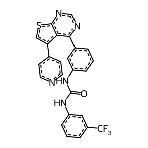 O=C(Nc1cccc(-c2ncnc3scc(-c4ccncc4)c23)c1)Nc1cccc(C(F)(F)F)c1